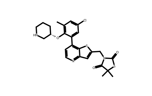 Cc1cc(Cl)cc(-c2ccnc3cc(CN4C(=O)SC(C)(C)C4=O)sc23)c1O[C@H]1CCCNC1